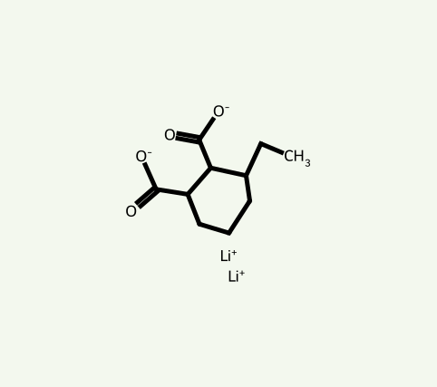 CCC1CCCC(C(=O)[O-])C1C(=O)[O-].[Li+].[Li+]